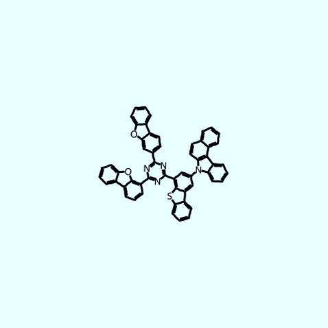 c1ccc2c(c1)ccc1c2c2ccccc2n1-c1cc(-c2nc(-c3ccc4c(c3)oc3ccccc34)nc(-c3cccc4c3oc3ccccc34)n2)c2sc3ccccc3c2c1